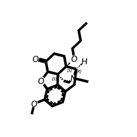 CCCCO[C@@]12CCC(=O)C3Oc4c(OC)ccc5c4[C@@]31CCN(C)[C@@H]2C5